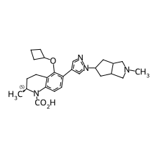 C[C@H]1CCc2c(ccc(-c3cnn(C4CC5CN(C)CC5C4)c3)c2OC2CCC2)N1C(=O)O